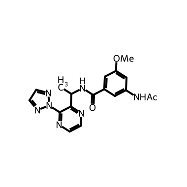 COc1cc(NC(C)=O)cc(C(=O)NC(C)c2nccnc2-n2nccn2)c1